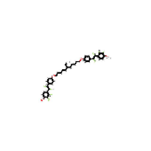 C=CC(CCCCCOc1ccc(/C(F)=C(\F)c2ccc(O)c(F)c2F)cc1)CCCCCOc1ccc(/C(F)=C(\F)c2ccc(OCC)c(F)c2F)cc1